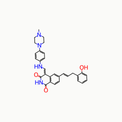 CN1CCN(c2ccc(NC=C3C(=O)NC(=O)c4ccc(C=CCc5ccccc5O)cc43)cc2)CC1